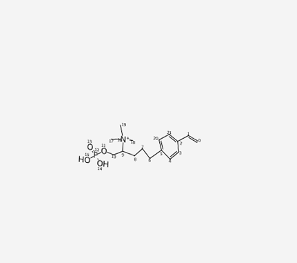 C=Cc1ccc(CCCC(COP(=O)(O)O)[N+](C)(C)C)cc1